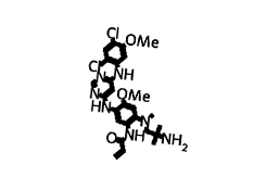 C=CC(=O)Nc1cc(Nc2cc(Nc3cc(OC)c(Cl)cc3Cl)ncn2)c(OC)cc1N(C)CC(C)(C)N